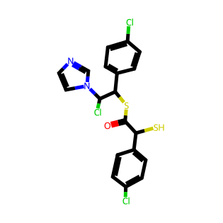 O=C(SC(c1ccc(Cl)cc1)C(Cl)n1ccnc1)C(S)c1ccc(Cl)cc1